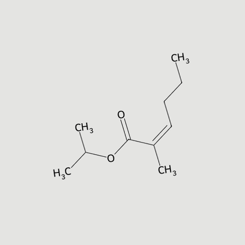 CCCC=C(C)C(=O)OC(C)C